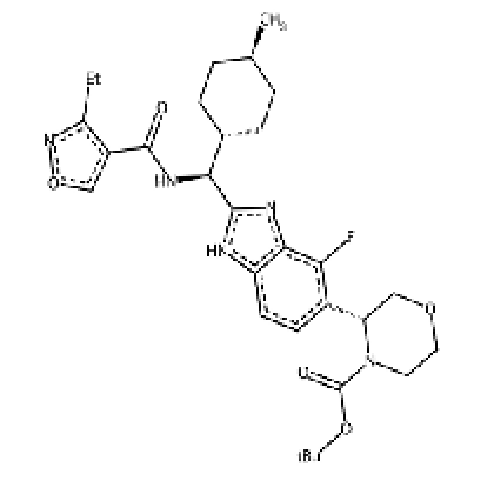 CCc1nocc1C(=O)N[C@H](c1nc2c(F)c([C@@H]3COCCN3C(=O)OC(C)(C)C)ccc2[nH]1)[C@H]1CC[C@H](C)CC1